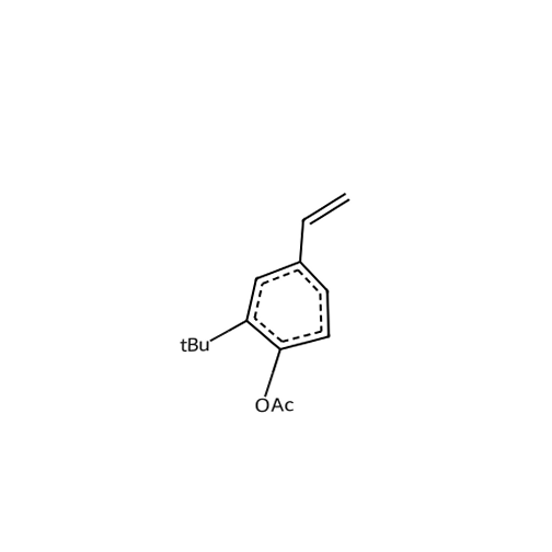 C=Cc1ccc(OC(C)=O)c(C(C)(C)C)c1